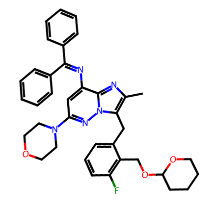 Cc1nc2c(N=C(c3ccccc3)c3ccccc3)cc(N3CCOCC3)nn2c1Cc1cccc(F)c1COC1CCCCO1